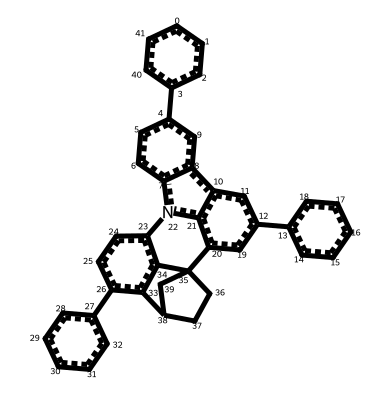 c1ccc(-c2ccc3c(c2)c2cc(-c4ccccc4)cc4c2n3-c2ccc(-c3ccccc3)c3c2C42CCC3C2)cc1